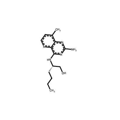 CCCC[C@@H](CO)Nc1nc(N)nc2c(C)ccnc12